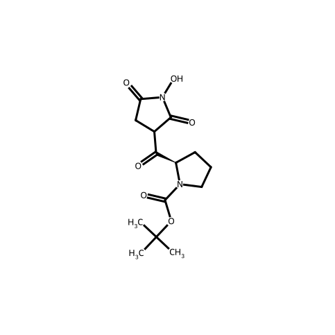 CC(C)(C)OC(=O)N1CCC[C@@H]1C(=O)C1CC(=O)N(O)C1=O